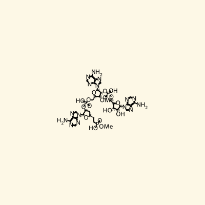 CO[C@H]1[C@@H](OP(=O)(O)OC[C@H]2O[C@@H](n3cnc4c(N)ncnc43)[C@H](O)[C@@H]2O)[C@H](n2cnc3c(N)ncnc32)O[C@@H]1COP(=O)(O)O[C@@H]1C[C@@H](CCP(=O)(O)OC)O[C@H]1n1cnc2c(N)ncnc21